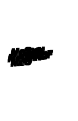 COc1cc(C(=O)Nc2ccc(F)cc2[N+](=O)[O-])cc(OC)c1OC